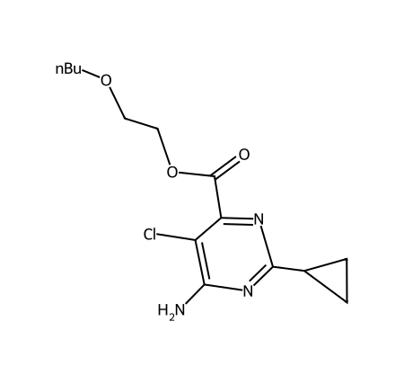 CCCCOCCOC(=O)c1nc(C2CC2)nc(N)c1Cl